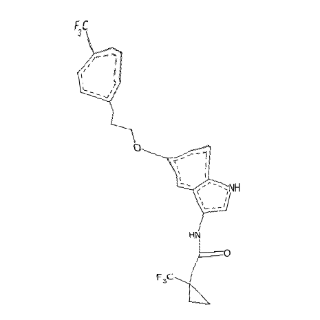 O=C(Nc1c[nH]c2ccc(OCCc3ccc(C(F)(F)F)cc3)cc12)C1(C(F)(F)F)CC1